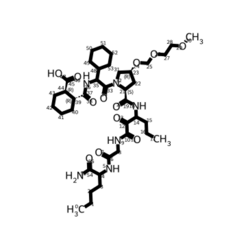 CCCCC(NC(=O)CNC(=O)C(=O)C(CCC)NC(=O)[C@@H]1C[C@@H](OCOCCOC)CN1C(=O)C(NC(=O)[C@@H]1CCCC[C@H]1C(=O)O)C1CCCCC1)C(N)=O